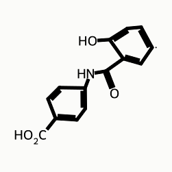 O=C(O)c1ccc(NC(=O)c2c[c]ccc2O)cc1